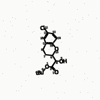 CC(C)(C)OC(=O)C(O)C1CCc2cc(Cl)ccc2O1